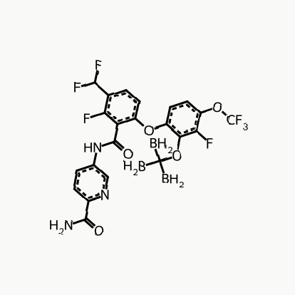 BC(B)(B)Oc1c(Oc2ccc(C(F)F)c(F)c2C(=O)Nc2ccc(C(N)=O)nc2)ccc(OC(F)(F)F)c1F